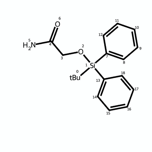 CC(C)(C)[Si](OCC(N)=O)(c1ccccc1)c1ccccc1